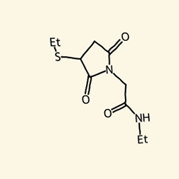 CCNC(=O)CN1C(=O)CC(SCC)C1=O